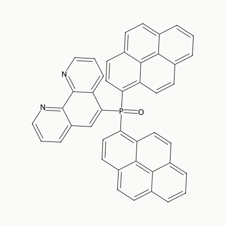 O=P(c1cc2cccnc2c2ncccc12)(c1ccc2ccc3cccc4ccc1c2c34)c1ccc2ccc3cccc4ccc1c2c34